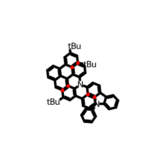 CC(C)(C)c1cc(-c2cccc3cccc(-c4ccccc4N(c4ccc5c6ccccc6n(-c6ccccc6)c5c4)c4ccc(C(C)(C)C)cc4-c4ccccc4)c23)cc(C(C)(C)C)c1